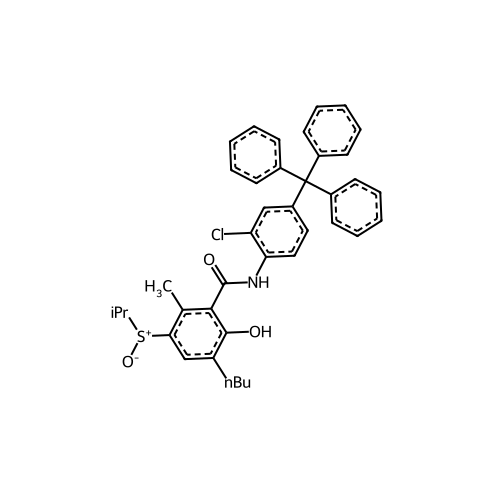 CCCCc1cc([S+]([O-])C(C)C)c(C)c(C(=O)Nc2ccc(C(c3ccccc3)(c3ccccc3)c3ccccc3)cc2Cl)c1O